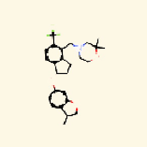 CC1COc2cc(O[C@@H]3CCc4c3ccc(C(F)(F)F)c4CN3CCOC(C)(C)C3)ccc21